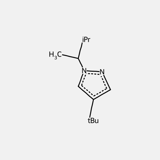 CC(C)C(C)n1cc(C(C)(C)C)cn1